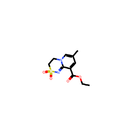 CCOC(=O)C1=CC(C)=CN2CCS(=O)(=O)N=C12